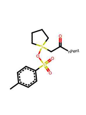 CCCCCC(=O)CS1(OS(=O)(=O)c2ccc(C)cc2)CCCC1